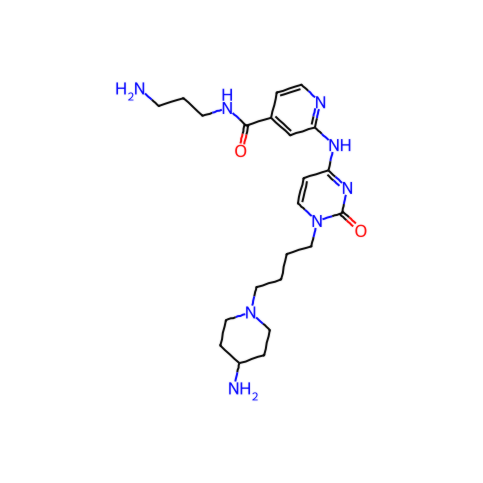 NCCCNC(=O)c1ccnc(Nc2ccn(CCCCN3CCC(N)CC3)c(=O)n2)c1